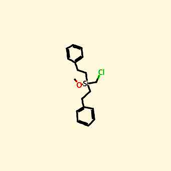 CO[Si](CCl)(CCc1ccccc1)CCc1ccccc1